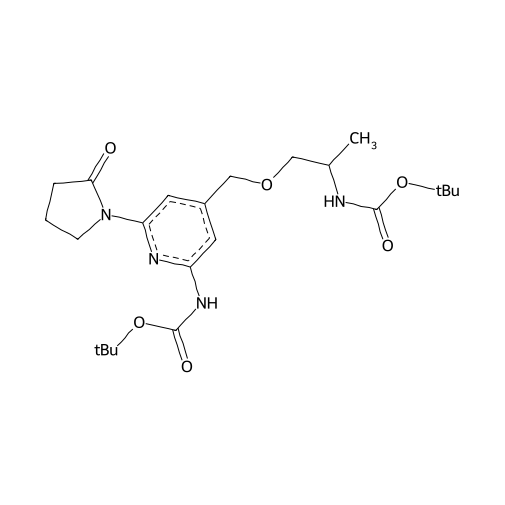 CC(COCc1cc(NC(=O)OC(C)(C)C)nc(N2CCCC2=O)c1)NC(=O)OC(C)(C)C